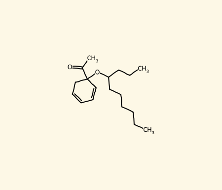 CCCCCCC(CCC)OC1(C(C)=O)C=CC=CC1